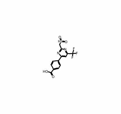 O=C(O)c1ccc(-c2cc(C(F)(F)F)nc(C[SH](=O)=O)n2)cc1